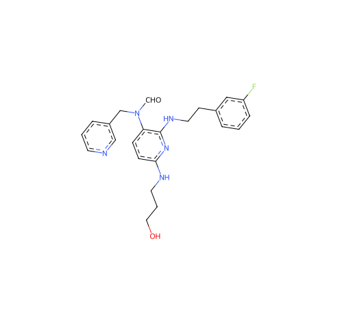 O=CN(Cc1cccnc1)c1ccc(NCCCO)nc1NCCc1cccc(F)c1